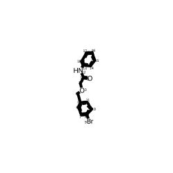 O=C(COCc1ccc(Br)cc1)Nc1ccccc1